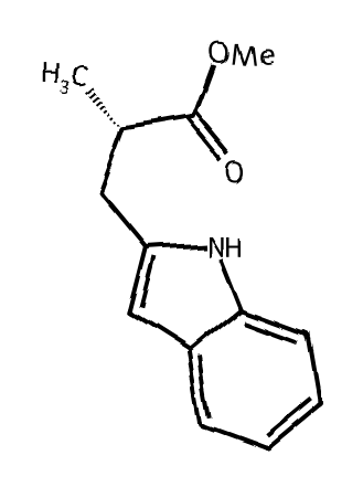 COC(=O)[C@@H](C)Cc1cc2ccccc2[nH]1